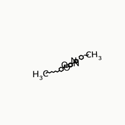 CCCCCCCC1CCC(C(=O)Oc2ccc(-c3ncc([C@H]4CC[C@H](CCC)CC4)cn3)cc2)CC1